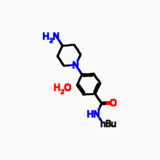 CCCCNC(=O)c1ccc(N2CCC(N)CC2)cc1.O